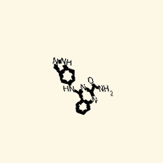 NC(=O)c1nc(Nc2ccc3[nH]ncc3c2)c2ccccc2n1